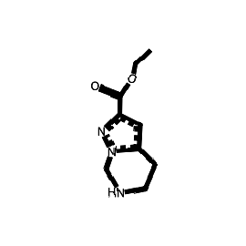 CCOC(=O)c1cc2n(n1)CNCC2